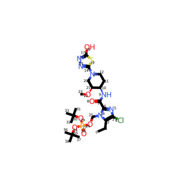 CCc1c(Cl)nc(C(=O)N[C@@H]2CCN(c3nnc(O)s3)C[C@@H]2OC)n1COP(=O)(OC(C)(C)C)OC(C)(C)C